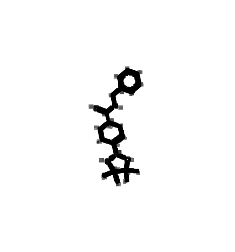 CC1(C)OB(C2=CC[C@H](C(=O)OCc3ccccc3)CC2)OC1(C)C